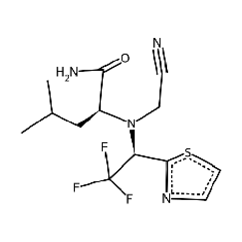 CC(C)C[C@@H](C(N)=O)N(CC#N)[C@@H](c1nccs1)C(F)(F)F